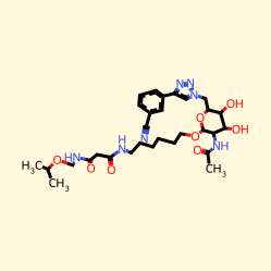 CC(=O)NC1C(OCCCCCCNC(=O)CC(=O)NCOC(C)C)OC(Cn2cc(-c3cccc(C#N)c3)nn2)C(O)C1O